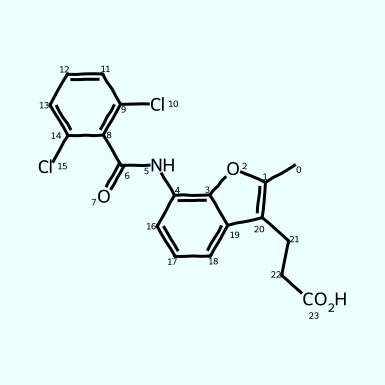 Cc1oc2c(NC(=O)c3c(Cl)cccc3Cl)cccc2c1CCC(=O)O